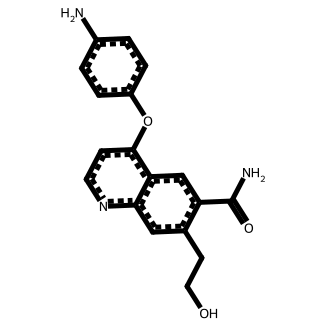 NC(=O)c1cc2c(Oc3ccc(N)cc3)ccnc2cc1CCO